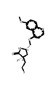 COc1ccc2nccc(OC[C@@H]3C[C@@](F)(CCF)C(=O)N3)c2c1